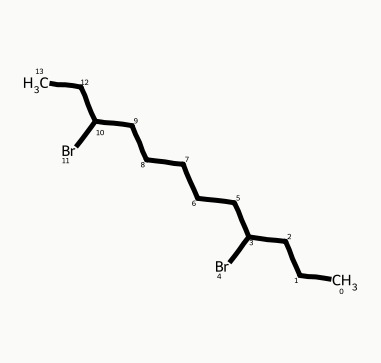 CCCC(Br)CCCCCC(Br)CC